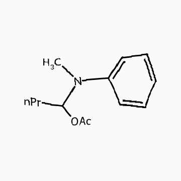 CCCC(OC(C)=O)N(C)c1ccccc1